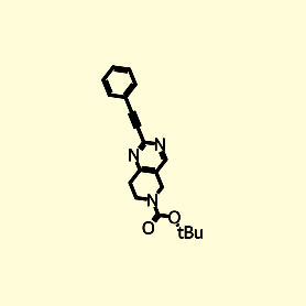 CC(C)(C)OC(=O)N1CCc2nc(C#Cc3ccccc3)ncc2C1